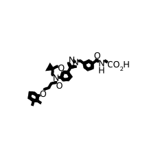 Cc1cccc(OCCCC(=O)N2CC3(CC3)COc3c(-c4cnn(Cc5cccc(C(=O)NCC(=O)O)c5)c4)cccc32)c1C